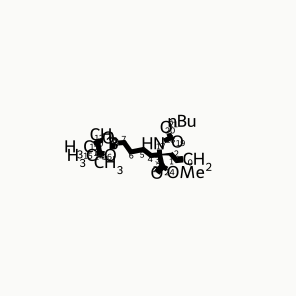 C=CC[C@@](CCCCB1OC(C)(C)C(C)(C)O1)(NC(=O)OCCCC)C(=O)OC